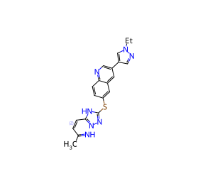 CCn1cc(-c2cnc3ccc(Sc4nnc(/C=C\C(C)=N)[nH]4)cc3c2)cn1